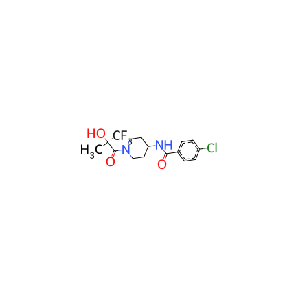 C[C@@](O)(C(=O)N1CCC(NC(=O)c2ccc(Cl)cc2)CC1)C(F)(F)F